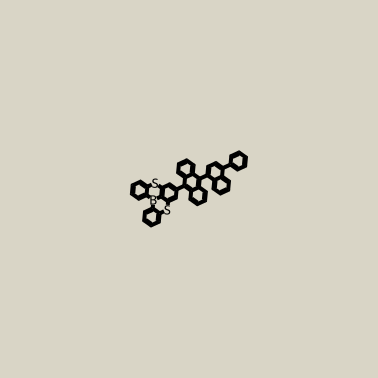 c1ccc(-c2ccc(-c3c4ccccc4c(-c4cc5c6c(c4)Sc4ccccc4B6c4ccccc4S5)c4ccccc34)c3ccccc23)cc1